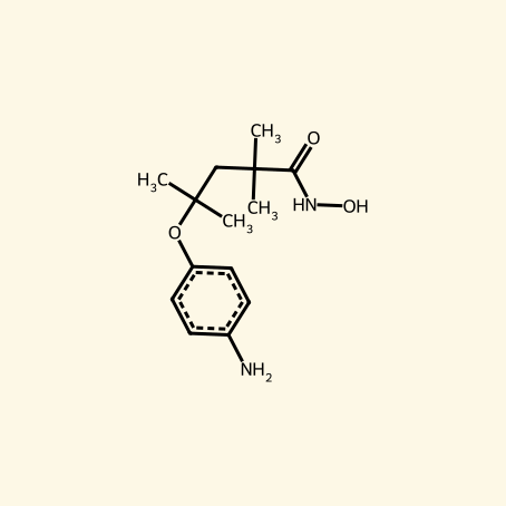 CC(C)(CC(C)(C)C(=O)NO)Oc1ccc(N)cc1